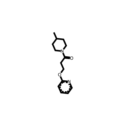 CC1CCN(C(=O)CCOc2ccccn2)CC1